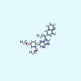 COc1ccc(-c2cnc3ncn(C(C)c4cc(F)c5ncccc5c4)c3n2)c(OC)c1